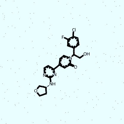 O=c1cc(-c2ccnc(N[C@@H]3CCOC3)n2)ccn1C(CO)c1ccc(Cl)c(F)c1